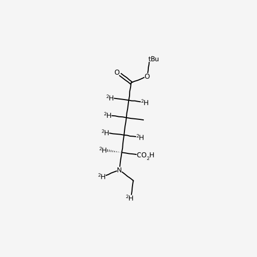 [2H]CN([2H])[C@]([2H])(C(=O)O)C([2H])([2H])C([2H])(C)C([2H])([2H])C(=O)OC(C)(C)C